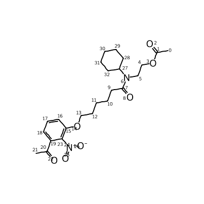 CC(=O)OCCN(C(=O)CCCCCOc1cccc(C(C)=O)c1[N+](=O)[O-])C1CCCCC1